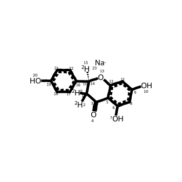 [2H]C1([2H])C(=O)c2c(O)cc(O)cc2O[C@]1([2H])c1ccc(O)cc1.[Na]